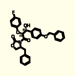 O=C1OCC(Cc2ccccc2)N1C(=O)[C@@H](Oc1ccc(F)cc1)[C@H](O)c1ccc(OCc2ccccc2)cc1